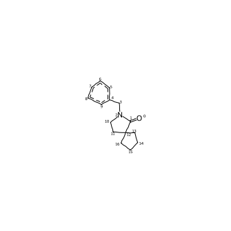 O=C1N(Cc2ccccc2)CCC12CCCC2